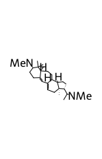 CN[C@@H](C)[C@H]1CC[C@H]2[C@@H]3CC[C@@H]4C(=CC3=CC[C@]12C)CC[C@H](NC)C4(C)C